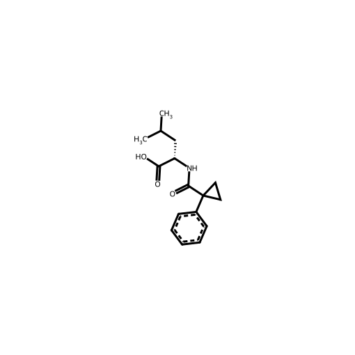 CC(C)C[C@H](NC(=O)C1(c2ccccc2)CC1)C(=O)O